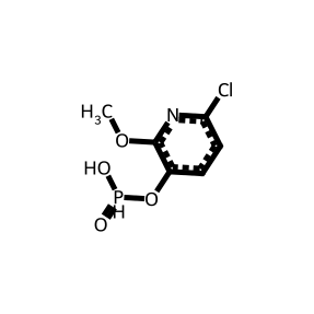 COc1nc(Cl)ccc1O[PH](=O)O